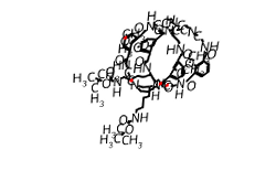 COc1c2cccc1C(=O)NCCN1CCN3CCNC(=O)c4cccc(c4OC)C(=O)NCCN(CCNC(=O)c4cccc(c4OC)C(=O)NC(CCCCNC(=O)OC(C)(C)C)C3)CCN(CCNC2=O)CCNC(=O)c2cccc(c2OC)C(=O)NC(CCCCNC(=O)OC(C)(C)C)C1